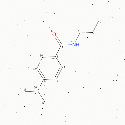 CCCNC(=O)c1ccc(C(C)C)cc1